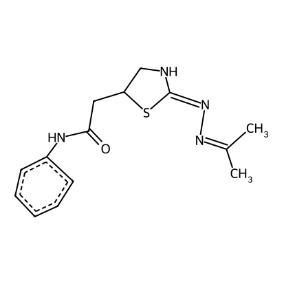 CC(C)=NN=C1NCC(CC(=O)Nc2ccccc2)S1